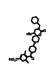 CCCCC1CN(CC2CCCCC2)C(=O)OC12CCN(C1CCN(C(=O)c3c(C)cc(C(=O)OCC)cc3C)CC1)CC2